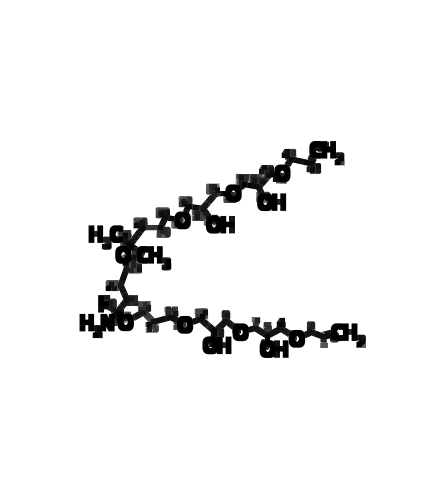 C=CCOCC(O)COCC(O)COCCCOC(N)(F)CCCOC(C)(C)CCCOCC(O)COCC(O)COCC=C